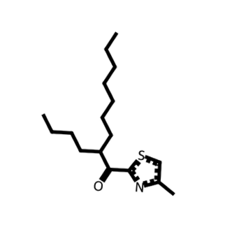 CCCCCCCC(CCCC)C(=O)c1nc(C)cs1